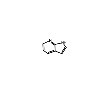 [c]1cnc2[nH]ccc2c1